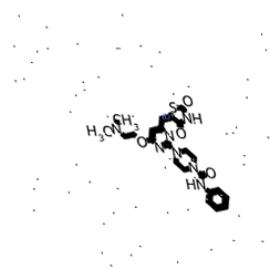 CN(C)CCOc1cc(/C=C2/SC(=O)NC2=O)nc(N2CCN(C(=O)Nc3ccccc3)CC2)n1